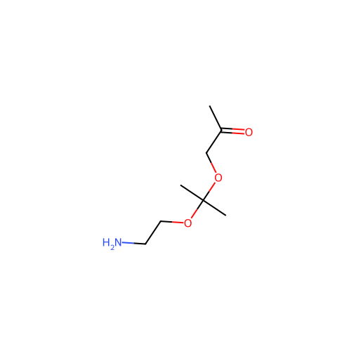 CC(=O)COC(C)(C)OCCN